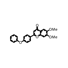 COc1cc2oc(-c3ccc(Oc4ccccc4)cc3)cc(=O)c2cc1OC